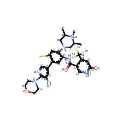 CC1CN(c2cc(F)c(-c3cnc(N4CCOCC4)c(Cl)c3)cc2NC(=O)c2c[nH]c(=O)cc2C(F)(F)F)CC(C)N1C